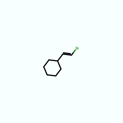 Br/C=C/C1CCCCC1